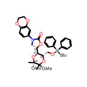 CO[C@]1(C)O[C@@H]([C@@H]2CN(c3ccc4c(c3)OCCO4)C(=O)O2)[C@H](CO[Si](c2ccccc2)(c2ccccc2)C(C)(C)C)O[C@@]1(C)OC